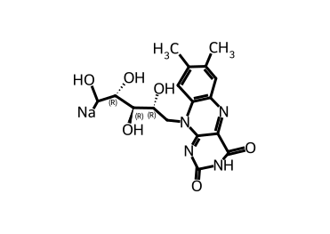 Cc1cc2nc3c(=O)[nH]c(=O)nc-3n(C[C@@H](O)[C@@H](O)[C@@H](O)[CH](O)[Na])c2cc1C